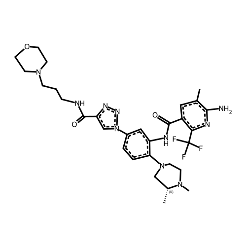 Cc1cc(C(=O)Nc2cc(-n3cc(C(=O)NCCCN4CCOCC4)nn3)ccc2N2CCN(C)[C@H](C)C2)c(C(F)(F)F)nc1N